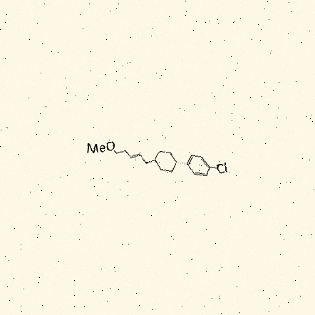 COCCC=CC[C@H]1CC[C@H](c2ccc(Cl)cc2)CC1